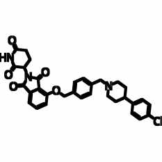 O=C1CCC(N2C(=O)c3cccc(OCc4ccc(CN5CCC(c6ccc(Cl)cc6)CC5)cc4)c3C2=O)C(=O)N1